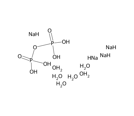 O.O.O.O.O.O.O=P(O)(O)OP(=O)(O)O.[NaH].[NaH].[NaH].[NaH]